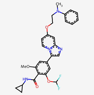 COc1cc(-c2cnc3cc(OCCN(C)c4ccccc4)ccn23)cc(OC(F)F)c1C(=O)NC1CC1